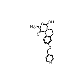 COC(=O)C1c2ccc(OCc3ccncc3)cc2CCN1C(=O)O